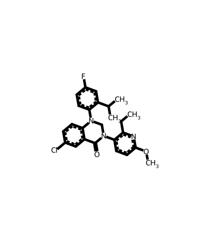 CCc1nc(OC)ccc1N1CN(c2ccc(F)cc2C(C)C)c2ccc(Cl)cc2C1=O